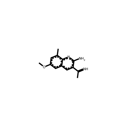 COc1cc(C)c2nc(N)c(C(C)=N)cc2c1